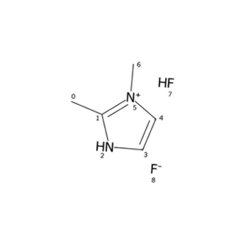 Cc1[nH]cc[n+]1C.F.[F-]